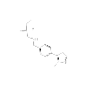 CCC(F)(F)CNCc1ccc(-c2scnc2C)cc1